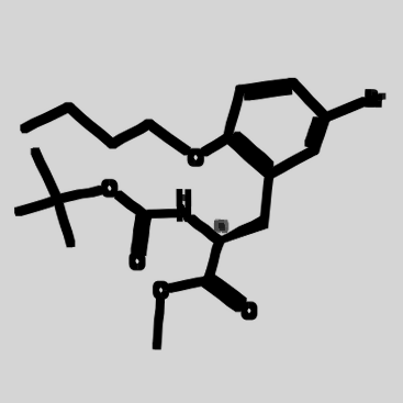 CCCCOc1ccc(Br)cc1C[C@H](NC(=O)OC(C)(C)C)C(=O)OC